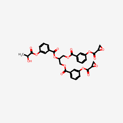 CC(O)C(=O)Oc1cccc(C(=O)OC(COC(=O)c2cccc(OC(=O)C3CO3)c2)COC(=O)c2cccc(OC(=O)C3CO3)c2)c1